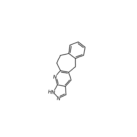 c1ccc2c(c1)CCc1nc3[nH]ncc3cc1C2